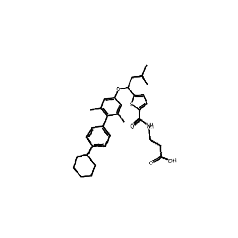 Cc1cc(OC(CC(C)C)c2ccc(C(=O)NCCC(=O)O)s2)cc(C)c1-c1ccc(C2CCCCC2)cc1